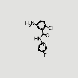 Nc1ccc(Cl)c(C(=O)Nc2ccc(F)cn2)c1